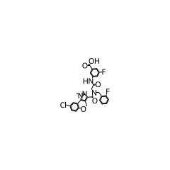 Cn1nc(C(=O)N(CC(=O)Nc2cc(F)cc(C(=O)O)c2)Cc2ccccc2F)c2c1-c1cc(Cl)ccc1OC2